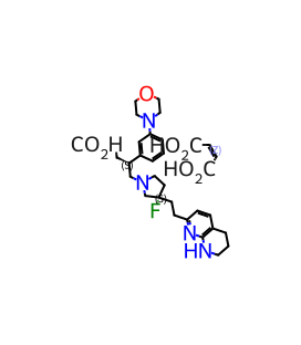 O=C(O)/C=C\C(=O)O.O=C(O)C[C@H](CN1CC[C@@](F)(CCc2ccc3c(n2)NCCC3)C1)c1cccc(N2CCOCC2)c1